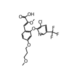 COCCCOc1ccc(/C=C(\OC)C(=O)O)c(Oc2ncc(C(F)(F)F)cc2Cl)c1